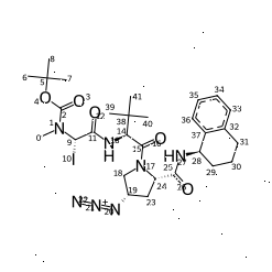 CN(C(=O)OC(C)(C)C)[C@@H](I)C(=O)N[C@H](C(=O)N1C[C@@H](N=[N+]=[N-])C[C@H]1C(=O)N[C@@H]1CCCc2ccccc21)C(C)(C)C